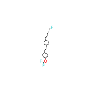 FCCC/C=C/C1CCC(CCc2ccc(OC(F)F)cc2)CC1